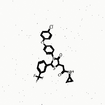 O=C(CC1SC(c2cccc(C(F)(F)F)c2)N(c2ccc(Oc3ccc(Cl)cc3)cc2)C1=O)NC1CC1